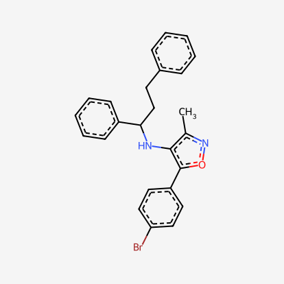 Cc1noc(-c2ccc(Br)cc2)c1NC(CCc1ccccc1)c1ccccc1